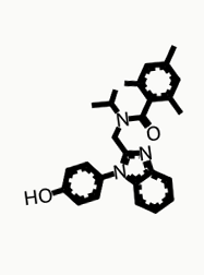 Cc1cc(C)c(C(=O)N(Cc2nc3ccccc3n2-c2ccc(O)cc2)C(C)C)c(C)c1